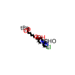 CC(C)(C)OC(=O)CCCCCOCC1(O)CCN(c2ccc(Cl)nc2C=O)CC1